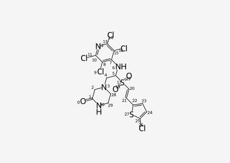 O=C1CN(CC(Nc2c(Cl)c(Cl)nc(Cl)c2Cl)S(=O)(=O)C=Cc2ccc(Cl)s2)CCN1